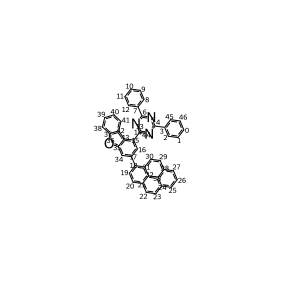 c1ccc(-c2nc(-c3ccccc3)nc(-c3cc(-c4ccc5ccc6cccc7ccc4c5c67)cc4oc5ccccc5c34)n2)cc1